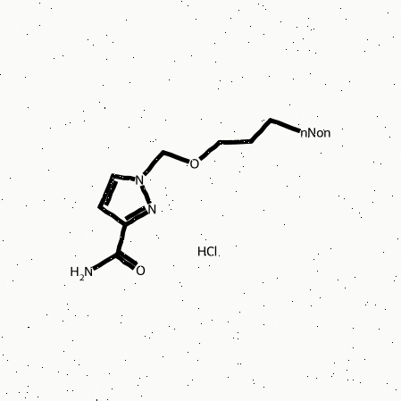 CCCCCCCCCCCCOCn1ccc(C(N)=O)n1.Cl